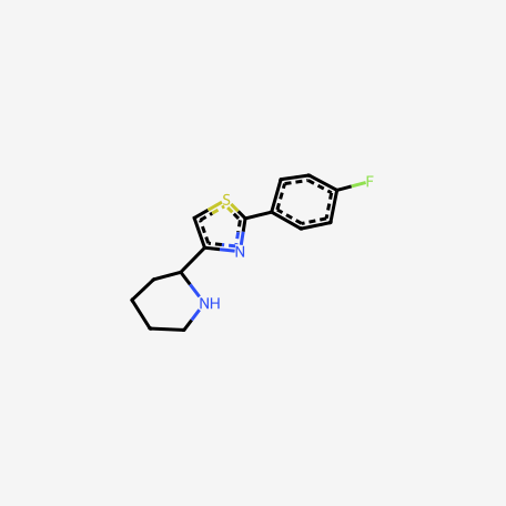 Fc1ccc(-c2nc(C3CCCCN3)cs2)cc1